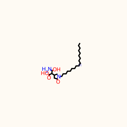 CCCCCCCC/C=C\CCCCCCCCN1CC(C(C(=O)O)C(N)O)CC1=O